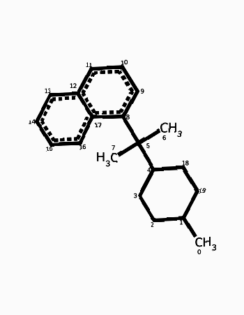 CC1C[CH]C(C(C)(C)c2cccc3ccccc23)CC1